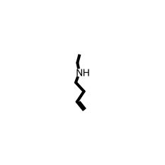 C=CCCNCC